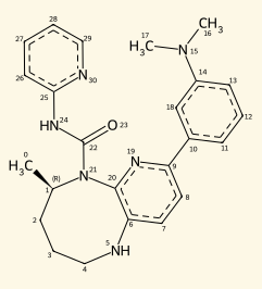 C[C@@H]1CCCNc2ccc(-c3cccc(N(C)C)c3)nc2N1C(=O)Nc1ccccn1